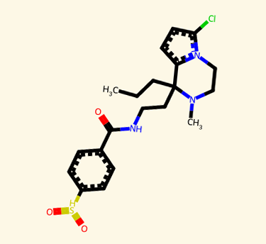 CCCC1(CCNC(=O)c2ccc([SH](=O)=O)cc2)c2ccc(Cl)n2CCN1C